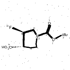 CC(C)(C)OC(=O)N1CC[C@H](C(=O)O)[C@@H](F)C1